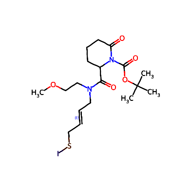 COCCN(C/C=C/CSI)C(=O)C1CCCC(=O)N1C(=O)OC(C)(C)C